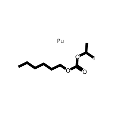 CCCCCCOC(=O)OC(C)I.[Pu]